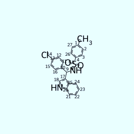 Cc1ccc(S(=O)(=O)NC(c2ccc(Cl)cc2)c2c[nH]c3ccccc23)cc1